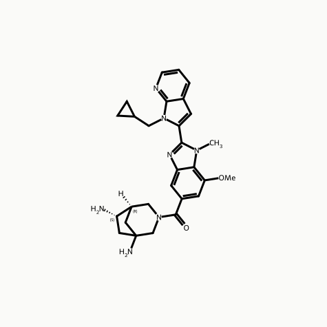 COc1cc(C(=O)N2C[C@H]3CC(N)(C[C@@H]3N)C2)cc2nc(-c3cc4cccnc4n3CC3CC3)n(C)c12